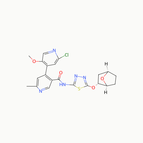 COc1cnc(Cl)cc1-c1cc(C)ncc1C(=O)Nc1nnc(O[C@@H]2C[C@H]3CC[C@@H]2O3)s1